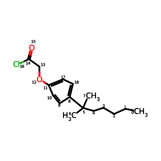 CCCCCC(C)(C)c1ccc(OCC(=O)Cl)cc1